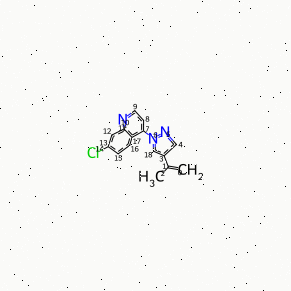 C=C(C)c1cnn(-c2ccnc3cc(Cl)ccc23)c1